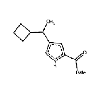 COC(=O)c1cc(C(C)C2CCC2)n[nH]1